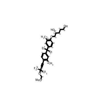 CCC(CC)(c1ccc(C#CC(OCOC)(C(F)(F)F)C(F)(F)F)c(C)c1)c1ccc(OC[C@H](O)CCCO)c(C)c1